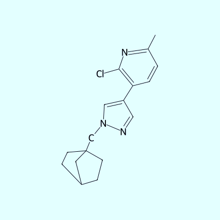 Cc1ccc(-c2cnn(CC34CCC(CC3)C4)c2)c(Cl)n1